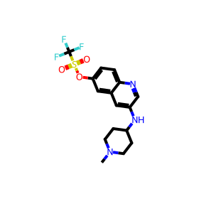 CN1CCC(Nc2cnc3ccc(OS(=O)(=O)C(F)(F)F)cc3c2)CC1